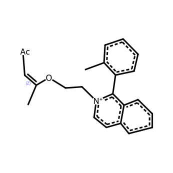 CC(=O)/C=C(/C)OCC[n+]1ccc2ccccc2c1-c1ccccc1C